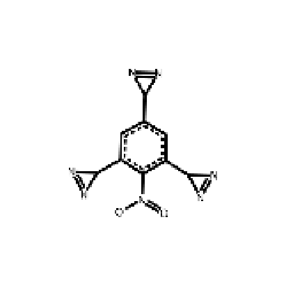 O=[N+]([O-])c1c(C2N=N2)cc(C2N=N2)cc1C1N=N1